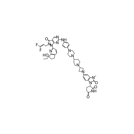 CC[C@@]1(O)CCc2ccc(-n3c4nc(Nc5ccc(N6CCN(C7CCN(C8CN(c9ccc%10c(c9)n(C)c(=O)n%10C9CCC(=O)NC9=O)C8)CC7)CC6)cc5)ncc4c(=O)n3CC=C(F)F)nc21